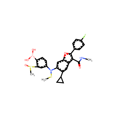 CNC(=O)c1c(-c2ccc(F)cc2)oc2cc(N(SC)c3ccc(B(O)O)c([S+](C)[O-])c3)c(C3CC3)cc12